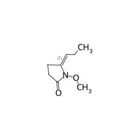 CC/C=C1/CCC(=O)N1OC